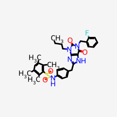 CCCCn1c(=O)n(Cc2ccccc2F)c(=O)c2[nH]c(Cc3ccc(NS(=O)(=O)c4c(C)c(C)cc(C)c4C)cc3)nc21